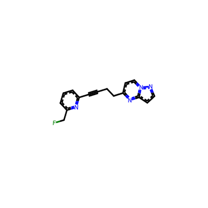 FCc1cccc(C#CCCc2ccn3nccc3n2)n1